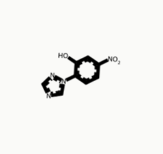 O=[N+]([O-])c1ccc(-n2cncn2)c(O)c1